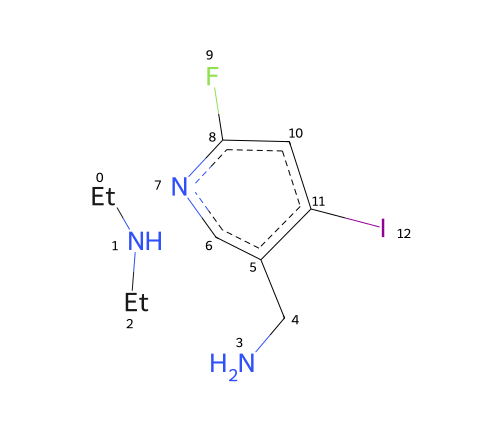 CCNCC.NCc1cnc(F)cc1I